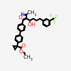 CCOC(=O)C1(c2ccc(-c3ccc(-c4onc(C)c4C(O)CCCc4cccc(C(F)(F)F)c4)cc3)cc2)CC1